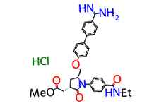 CCNC(=O)c1ccc(N2C(=O)[C@H](CC(=O)OC)C[C@H]2COc2ccc(-c3ccc(C(=N)N)cc3)cc2)cc1.Cl